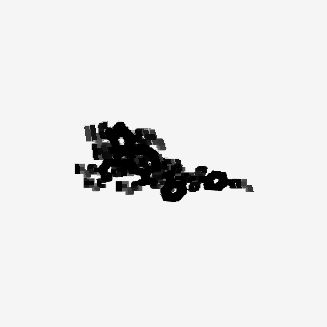 CO[C@H](C)C[C@](O)([C@@H]1CCC[C@@](C)(OC(=O)c2ccccc2NS(=O)(=O)c2ccc(C)cc2)C(C(C)C)C1)[C@]1(O)C(C)C[C@H](C)[C@@H]1OC